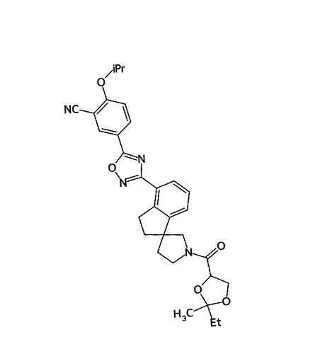 CCC1(C)OCC(C(=O)N2CCC3(CCc4c(-c5noc(-c6ccc(OC(C)C)c(C#N)c6)n5)cccc43)C2)O1